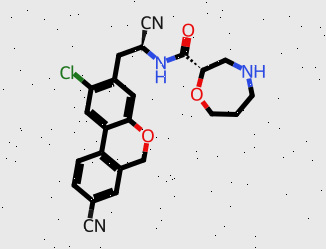 N#Cc1ccc2c(c1)COc1cc(C[C@@H](C#N)NC(=O)[C@@H]3CNCCCO3)c(Cl)cc1-2